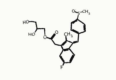 CC1=C(CC(=O)OCC(O)CO)c2cc(F)ccc2C1=Cc1ccc([S+](C)[O-])cc1